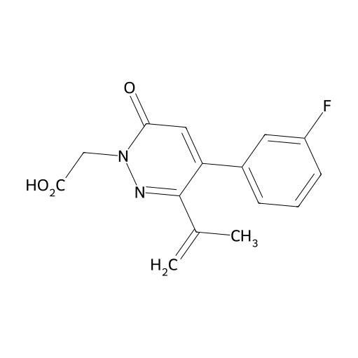 C=C(C)c1nn(CC(=O)O)c(=O)cc1-c1cccc(F)c1